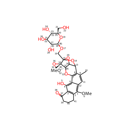 COc1c2c(c(O)c3c4c(c(C)cc13)C1OC3(CO[C@@H]5O[C@H](CO)[C@@H](O)[C@H](O)[C@H]5O)OC1[C@@](OC)(O4)[C@@]31CO1)C(=O)CCC2